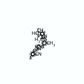 C=C(O)c1ccc2nc(CN3CCC(Oc4ccnc(COc5ccc(F)cc5C#N)n4)CC3C)n(C)c2c1F